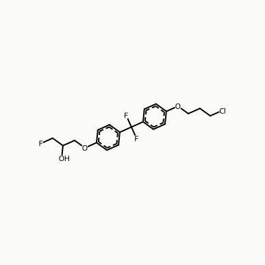 OC(CF)COc1ccc(C(F)(F)c2ccc(OCCCCl)cc2)cc1